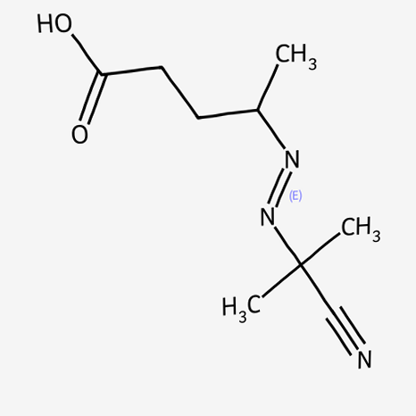 CC(CCC(=O)O)/N=N/C(C)(C)C#N